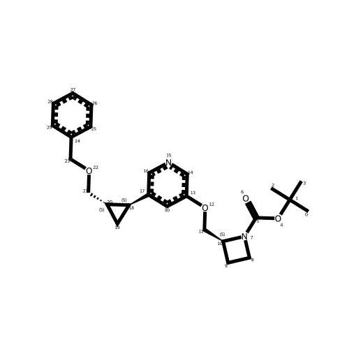 CC(C)(C)OC(=O)N1CC[C@H]1COc1cncc([C@H]2C[C@@H]2COCc2ccccc2)c1